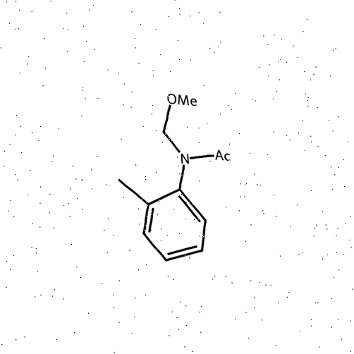 COCN(C(C)=O)c1ccccc1C